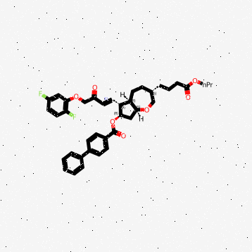 CCCOC(=O)CCC[C@H]1CC[C@@H]2[C@@H](/C=C/C(=O)COc3cc(F)ccc3F)[C@H](OC(=O)c3ccc(-c4ccccc4)cc3)C[C@@H]2OC1